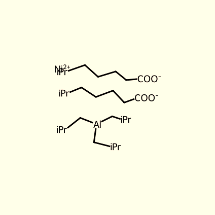 CC(C)CCCCC(=O)[O-].CC(C)CCCCC(=O)[O-].CC(C)[CH2][Al]([CH2]C(C)C)[CH2]C(C)C.[Ni+2]